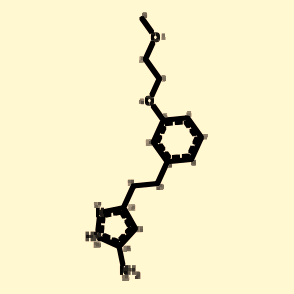 COCCOc1cccc(CCc2cc(N)[nH]n2)c1